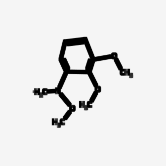 [CH2]N(OC)c1cccc(OC)c1OC